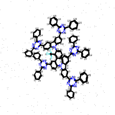 FC(F)(F)c1c(-c2cc(-c3nc(-c4ccccc4)nc(-c4ccccc4)n3)ccc2-n2c3ccc(-c4nc(-c5ccccc5)nc(-c5ccccc5)n4)cc3c3cc(-c4nc(-c5ccccc5)nc(-c5ccccc5)n4)ccc32)cccc1-n1c2ccc(-c3nc(-c4ccccc4)nc(-c4ccccc4)n3)cc2c2cc(-c3nc(-c4ccccc4)nc(-c4ccccc4)n3)ccc21